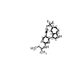 CCC(C)Nc1ncc(C#N)c(-c2c[nH]c3ncc(C(F)(F)F)cc23)n1